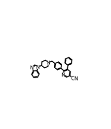 N#Cc1cnc(-c2ccc(CN3CCC(n4cnc5ccccc54)CC3)cc2)c(-c2ccccc2)c1